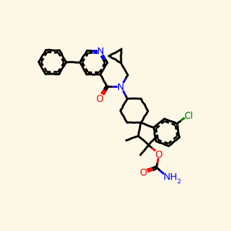 CC(C(C)(C)OC(N)=O)C1(c2cccc(Cl)c2)CCC(N(CC2CC2)C(=O)c2cncc(-c3ccccc3)c2)CC1